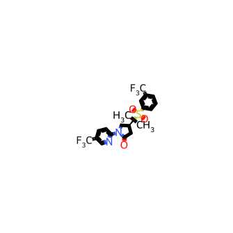 CC(C)([C@H]1CC(=O)N(c2ccc(C(F)(F)F)cn2)C1)S(=O)(=O)c1cccc(C(F)(F)F)c1